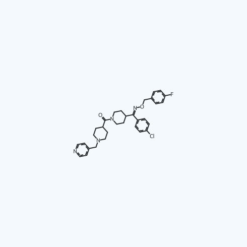 O=C(C1CCN(Cc2ccncc2)CC1)N1CCC(C(=NOCc2ccc(F)cc2)c2ccc(Cl)cc2)CC1